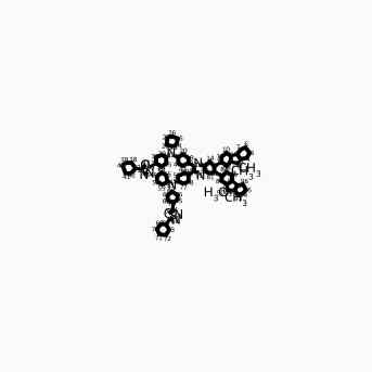 CC1(C)c2ccccc2-c2ccc(-c3cc4nc(-c5ccc(N(c6ccccc6)c6ccc(-c7nnc(-c8ccccc8)o7)cc6)cc5)c(-c5ccc(N(c6ccccc6)c6ccc(-c7nnc(-c8ccccc8)o7)cc6)cc5)nc4cc3-c3ccc4c(c3)C(C)(C)c3ccccc3-4)cc21